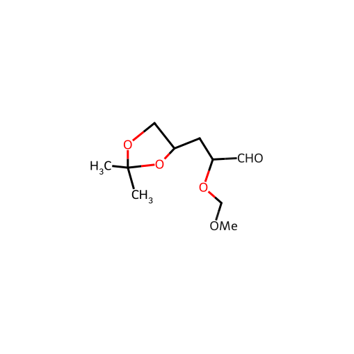 COCOC(C=O)CC1COC(C)(C)O1